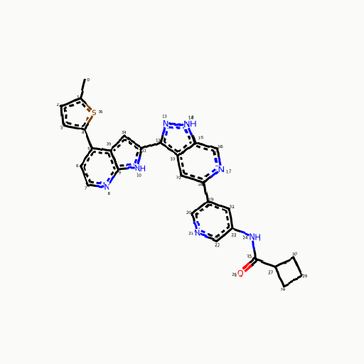 Cc1ccc(-c2ccnc3[nH]c(-c4n[nH]c5cnc(-c6cncc(NC(=O)C7CCC7)c6)cc45)cc23)s1